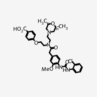 COc1cc(CC(=O)N(CCOc2ccc(C(=O)O)cc2)CCN2C[C@@H](C)O[C@@H](C)C2)ccc1NC(=O)Nc1ccccc1Cl